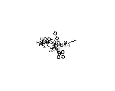 CCCCCCCC(=O)NCCCC[C@H](NC(=O)[C@H](Cc1cn(C(c2ccccc2)(c2ccccc2)c2ccccc2)cn1)NC(=O)CCCC[C@@H]1SC[C@@H]2NC(=O)N[C@@H]21)C(=O)N[C@@H](Cc1ccc(-c2ccccc2)cc1)C(=O)N[C@@H](Cc1ccc(O)cc1)C(=O)O